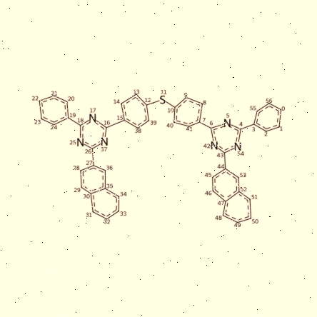 c1ccc(-c2nc(-c3ccc(Sc4ccc(-c5nc(-c6ccccc6)nc(-c6ccc7ccccc7c6)n5)cc4)cc3)nc(-c3ccc4ccccc4c3)n2)cc1